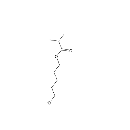 CC(C)C(=O)OCCCCC[O]